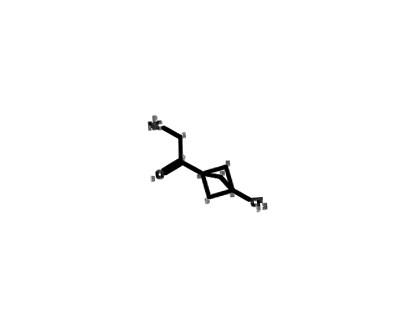 N#CCC(=O)C12CC(C(F)(F)F)(C1)C2